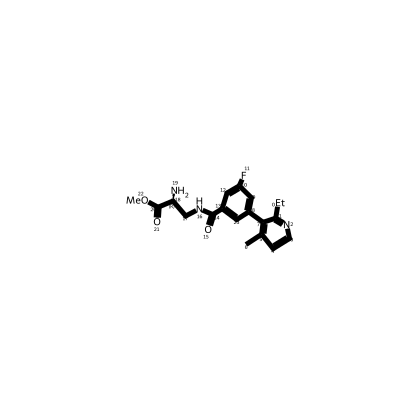 CCc1nccc(C)c1-c1cc(F)cc(C(=O)NC[C@@H](N)C(=O)OC)c1